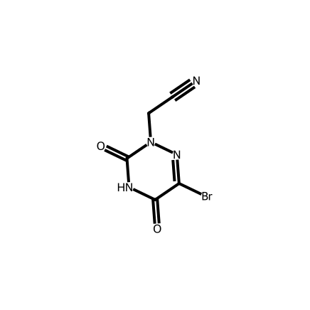 N#CCn1nc(Br)c(=O)[nH]c1=O